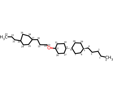 CCCCC[C@H]1CC[C@H](C2CCC(OCCCC3CCC(CCC)CC3)CC2)CC1